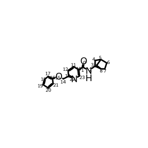 O=C(NC1CC2CCC1C2)c1ccc(COc2ccccc2)nc1